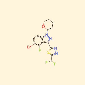 Fc1c(Br)ccc2c1c(-c1nnc(C(F)F)s1)nn2C1CCCCO1